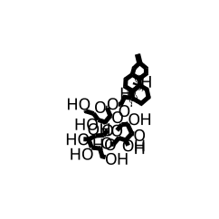 C=C1CC[C@@H]2C(CC[C@@H]3[C@](C)(CC(=O)OC4OC(CO)C(O)C(OC5OC(CO)C(O)C(O)C5O)C4OC4OC(CO)C(O)C(O)C4O)CCC[C@@]23C)C1